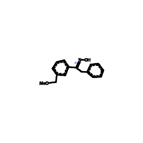 COCc1cccc(/C(Cc2ccccc2)=N/O)c1